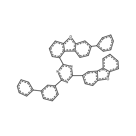 c1ccc(-c2cccc(-c3nc(-c4ccc5oc6ccccc6c5c4)nc(-c4cccc5oc6cc(-c7ccccc7)ccc6c45)n3)c2)cc1